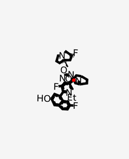 CCc1c(F)ccc2cc(O)cc(-c3ncc4c(N5C6CCC5CC(=O)C6)nc(OC[C@@]56CCCN5C[C@H](F)C6)nc4c3F)c12